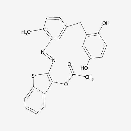 CC(=O)Oc1c(N=Nc2cc(Cc3cc(O)ccc3O)ccc2C)sc2ccccc12